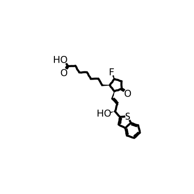 O=C(O)CCCCCC[C@@H]1[C@H](C=C[C@@H](O)c2cc3ccccc3s2)C(=O)C[C@@H]1F